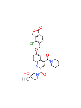 CC1(O)CCN(C(=O)c2cc(C(=O)N3CCCCC3)c3cc(OCc4ccc5c(c4Cl)COC5=O)ccc3n2)C1